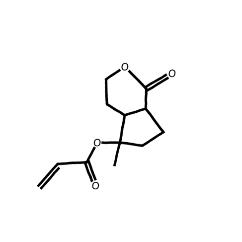 C=CC(=O)OC1(C)CCC2C(=O)OCCC21